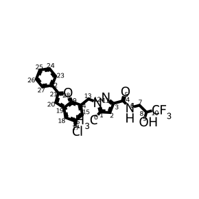 Cc1cc(C(=O)NCC(O)C(F)(F)F)nn1Cc1cc(Cl)cc2cc(-c3ccccc3)oc12